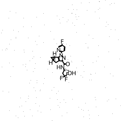 O=C(N[C@H](CO)CC(F)(F)F)c1nn(-c2ccc(F)cn2)c2c1C[C@H]1C[C@@H]21